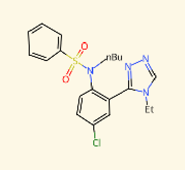 CCCCN(c1ccc(Cl)cc1-c1nncn1CC)S(=O)(=O)c1ccccc1